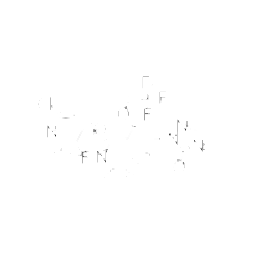 CCn1cnn(-c2cc(OC(C)C(F)(F)F)c3c(Oc4cc(Cl)ncc4F)nccc3c2)c1=O